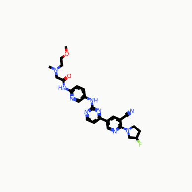 COCCN(C)CC(=O)Nc1ccc(Nc2nccc(-c3cnc(N4CCC(F)C4)c(C#N)c3)n2)cn1